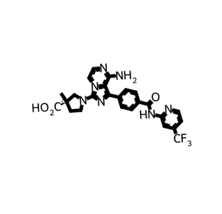 C[C@]1(C(=O)O)CCN(c2nc(-c3ccc(C(=O)Nc4cc(C(F)(F)F)ccn4)cc3)c3c(N)nccn23)C1